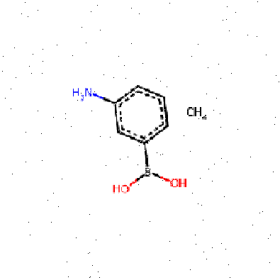 C.Nc1cccc(B(O)O)c1